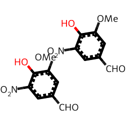 COc1cc(C=O)cc([N+](=O)[O-])c1O.COc1cc(C=O)cc([N+](=O)[O-])c1O